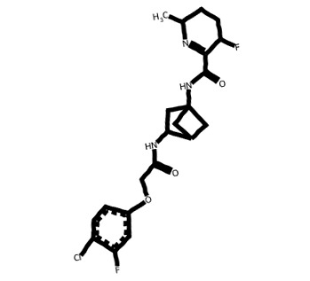 CC1CCC(F)C(C(=O)NC23CC(C2)C(NC(=O)COc2ccc(Cl)c(F)c2)C3)=N1